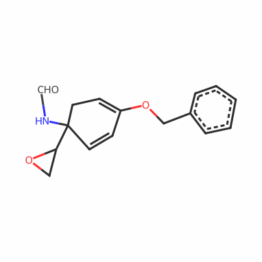 O=CNC1(C2CO2)C=CC(OCc2ccccc2)=CC1